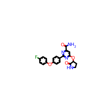 NC(=O)c1cc(OC2CCNC2=O)nc(-c2ccc(Oc3ccc(F)cc3)cc2)n1